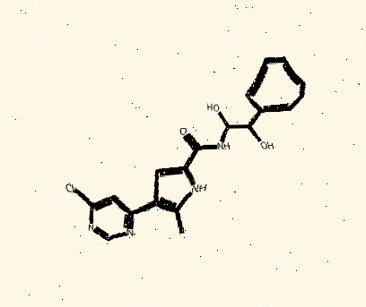 Cc1[nH]c(C(=O)NC(O)C(O)c2ccccc2)cc1-c1cc(Cl)ncn1